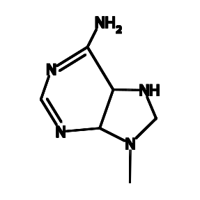 CN1CNC2C(N)=NC=NC21